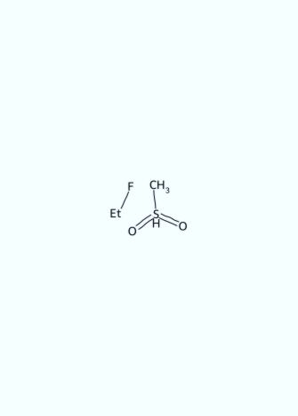 CCF.C[SH](=O)=O